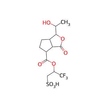 CC(O)C1OC(=O)C2C(C(=O)OC(CS(=O)(=O)O)C(F)(F)F)CCC12